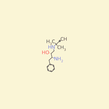 C#CC(C)(C)NC[C@@H](O)[C@@H](N)Cc1ccccc1